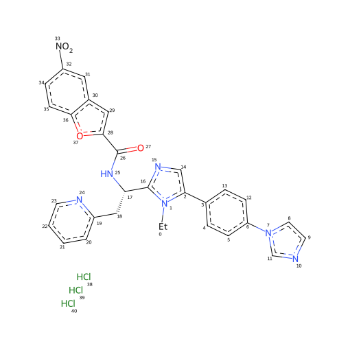 CCn1c(-c2ccc(-n3ccnc3)cc2)cnc1[C@H](Cc1ccccn1)NC(=O)c1cc2cc([N+](=O)[O-])ccc2o1.Cl.Cl.Cl